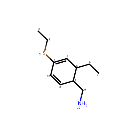 CCSC1=CC(CC)C(CN)C=C1